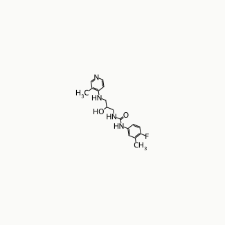 Cc1cc(NC(=O)NCC(O)CNc2ccncc2C)ccc1F